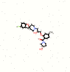 Cc1ccc(C(=O)N2CC[C@H](O)C2)c(OC[C@@H](O)CN2CCC3(CC2)Cc2cc(F)ccc2O3)c1